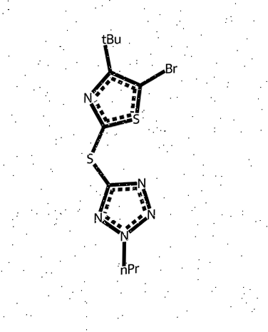 CCCn1nnc(Sc2nc(C(C)(C)C)c(Br)s2)n1